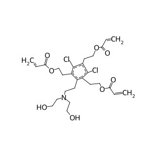 C=CC(=O)OCCc1c(Cl)c(CCOC(=O)C=C)c(CCN(CCO)CCO)c(CCOC(=O)C=C)c1Cl